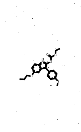 CCCOc1ccc2[nH]c(OC(=O)OCC)c(-c3ccc(SC)cc3)c2c1